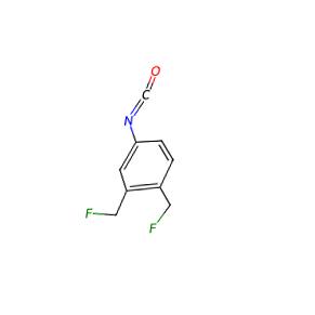 O=C=Nc1ccc(CF)c(CF)c1